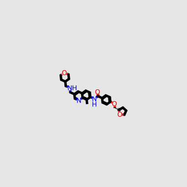 Cc1c(NC(=O)c2ccc(OC[C@@H]3CCCO3)cc2)ccc2cc(CNCC3CCOCC3)cnc12